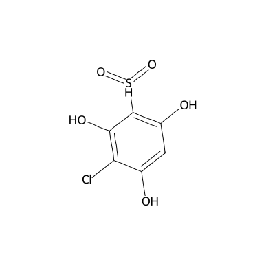 O=[SH](=O)c1c(O)cc(O)c(Cl)c1O